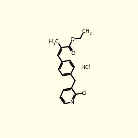 CCOC(=O)C(C)=Cc1ccc(Cc2cccnc2Cl)cc1.Cl